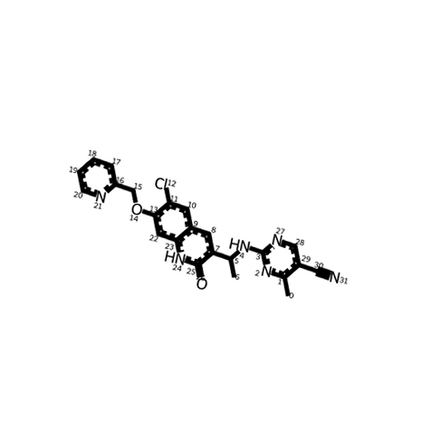 Cc1nc(NC(C)c2cc3cc(Cl)c(OCc4ccccn4)cc3[nH]c2=O)ncc1C#N